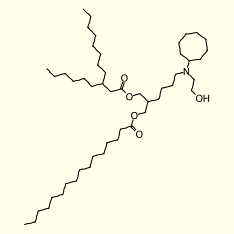 CCCCCCCCCCCCCCCC(=O)OCC(CCCCN(CCO)C1CCCCCCC1)COC(=O)CC(CCCCCC)CCCCCCCC